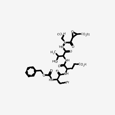 CCOC(=O)C1OC1C(=O)N(CC(=O)O)NC(=O)C(NC(=O)C(CCC(=O)O)NC(=O)C(CC(C)C)NC(=O)OCc1ccccc1)C(C)O